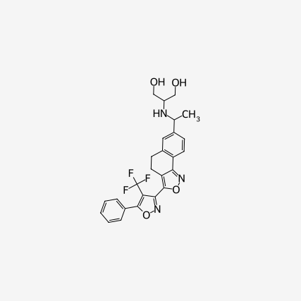 CC(NC(CO)CO)c1ccc2c(c1)CCc1c-2noc1-c1noc(-c2ccccc2)c1C(F)(F)F